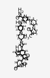 CN1CCN([C@@H]2CCCN(c3cnc(C(N)=O)c(Nc4ccc(N5CCC(N6CC(c7cc8onc(C9CCC(=O)NC9=O)c8c8cc[nH]c78)C6)CC5)cc4)n3)C2)C1=O